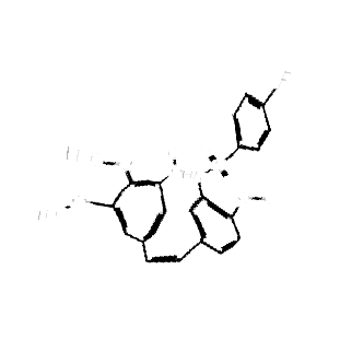 COc1ccc(/C=C\c2cc(OC)c(OC)c(OC)c2)cc1NS(=O)(=O)c1ccc(F)cc1